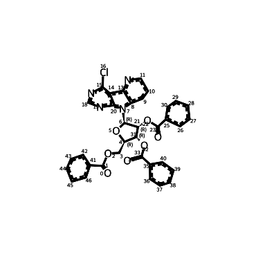 O=C(OC[C@H]1O[C@@H](n2c3cccnc3c3c(Cl)ncnc32)[C@H](OC(=O)c2ccccc2)[C@@H]1OC(=O)c1ccccc1)c1ccccc1